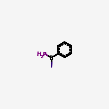 PB(I)c1ccccc1